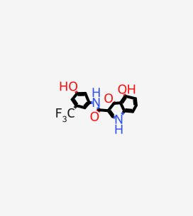 O=C(Nc1cc(O)cc(C(F)(F)F)c1)c1c[nH]c2cccc(O)c2c1=O